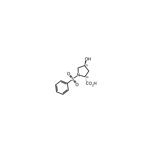 O=C(O)[C@H]1C[C@H](O)CN1S(=O)(=O)c1ccccc1